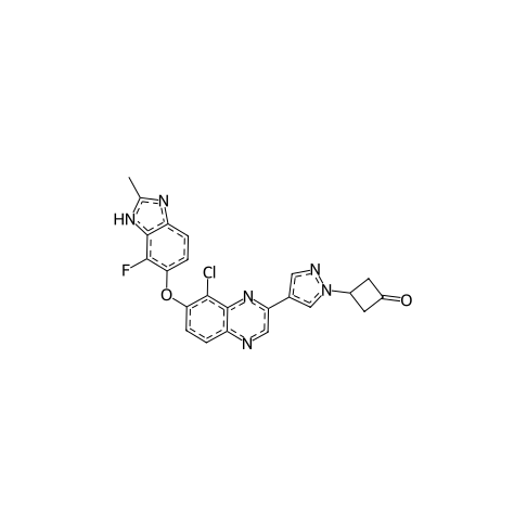 Cc1nc2ccc(Oc3ccc4ncc(-c5cnn(C6CC(=O)C6)c5)nc4c3Cl)c(F)c2[nH]1